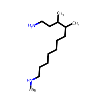 CCCCNCCCCCCCC(C)C(C)CCN